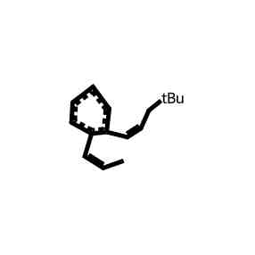 C/C=C\c1ccccc1/C=C\CC(C)(C)C